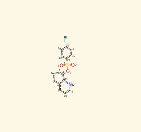 O=S(=O)(Oc1cccc2cccnc12)c1ccc(F)cc1